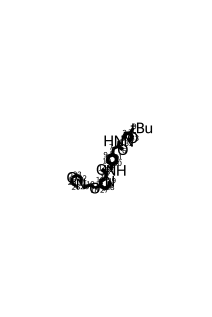 CC(C)(C)c1cc(NC(=O)Cc2ccc(NC(=O)c3cc(OCCN4CCOCC4)ccn3)cc2)no1